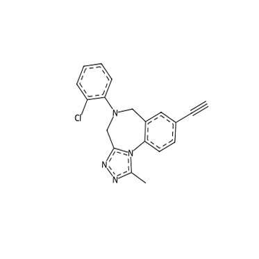 C#Cc1ccc2c(c1)CN(c1ccccc1Cl)Cc1nnc(C)n1-2